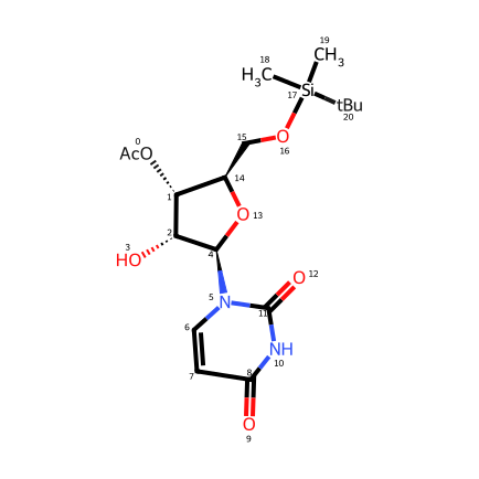 CC(=O)O[C@H]1[C@@H](O)[C@H](n2ccc(=O)[nH]c2=O)O[C@@H]1CO[Si](C)(C)C(C)(C)C